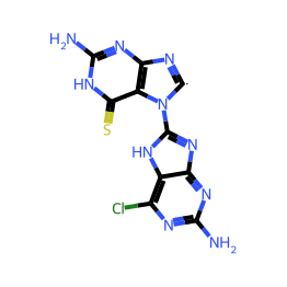 Nc1nc(Cl)c2[nH]c(-n3[c]nc4nc(N)[nH]c(=S)c43)nc2n1